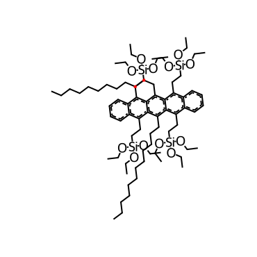 CCCCCCCCCCCCc1c2c(CC[Si](OCC)(OCC)OCC)c3ccccc3c(CC[Si](OCC)(OCC)OCC)c2c(CCCCCCCCCCCC)c2c(CC[Si](OCC)(OCC)OCC)c3ccccc3c(CC[Si](OCC)(OCC)OCC)c12